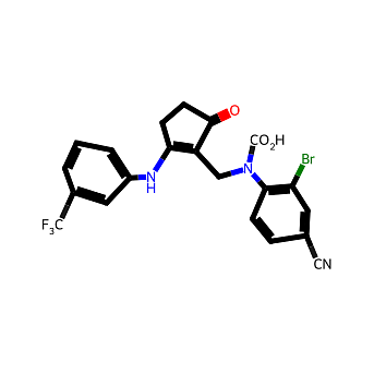 N#Cc1ccc(N(CC2=C(Nc3cccc(C(F)(F)F)c3)CCC2=O)C(=O)O)c(Br)c1